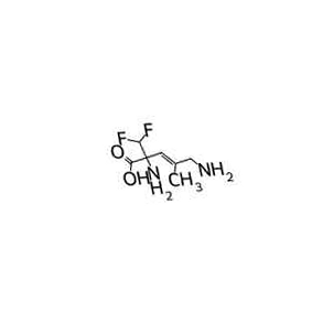 C/C(=C\C(N)(C(=O)O)C(F)F)CN